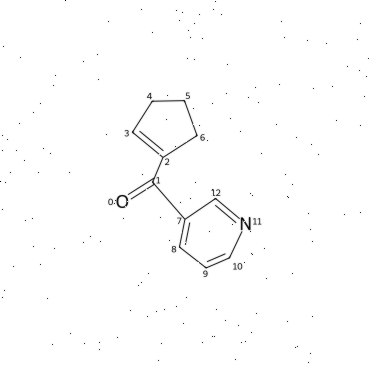 O=C(C1=CCCC1)c1cccnc1